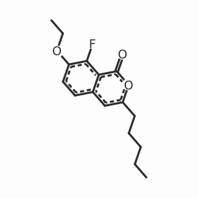 CCCCCc1cc2ccc(OCC)c(F)c2c(=O)o1